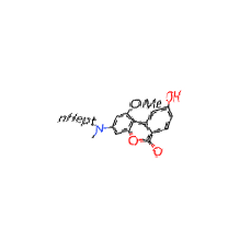 CCCCCCCN(C)c1cc(OC)c2c(c1)oc(=O)c1ccc(O)cc12